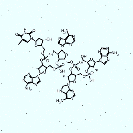 Cc1cn([C@H]2C[C@H](O)[C@@H](COP(=O)(S)OC3[C@@H](C)[C@H](n4cnc5c(N)ncnc54)O[C@@H]3COP(=O)(S)OC3[C@@H](F)[C@H](n4cnc5c(N)ncnc54)O[C@@H]3COP(=O)(S)OC3[C@@H](F)[C@H](N4CNc5c(N)ncnc54)O[C@@H]3COP(=O)(S)OC3[C@@H](F)[C@H](n4cnc5c(N)ncnc54)O[C@@H]3CO)O2)c(=O)[nH]c1=O